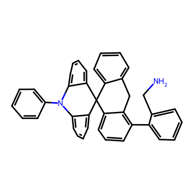 NCc1ccccc1-c1cccc2c1Cc1ccccc1C21c2ccccc2N(c2ccccc2)c2ccccc21